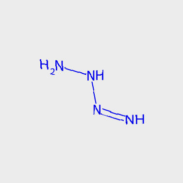 N=NNN